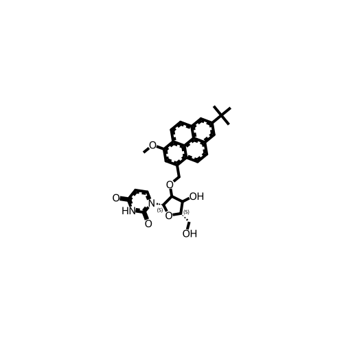 COc1cc(COC2C(O)[C@H](CO)O[C@@H]2n2ccc(=O)[nH]c2=O)c2ccc3cc(C(C)(C)C)cc4ccc1c2c34